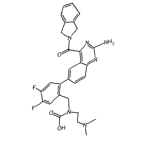 CN(C)CCN(Cc1cc(F)c(F)cc1-c1ccc2nc(N)nc(C(=O)N3Cc4ccccc4C3)c2c1)C(=O)O